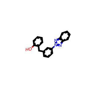 Oc1ccccc1Cc1cccc(-n2nc3ccccc3n2)c1